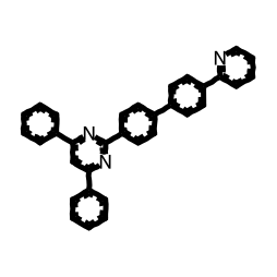 c1ccc(-c2cc(-c3ccccc3)nc(-c3ccc(-c4ccc(-c5ccccn5)cc4)cc3)n2)cc1